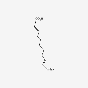 CCCCCCC=CCCCCCC=CC(=O)O